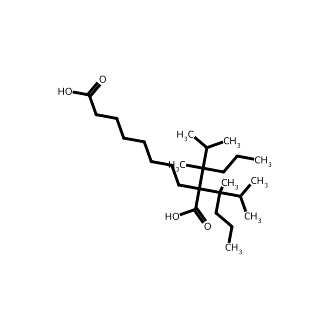 CCCC(C)(C(C)C)C(CCCCCCCC(=O)O)(C(=O)O)C(C)(CCC)C(C)C